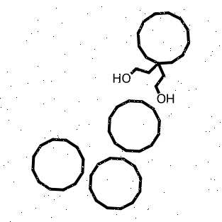 C1CCCCCCCCCCC1.C1CCCCCCCCCCC1.C1CCCCCCCCCCC1.OCCC1(CCO)CCCCCCCCCCC1